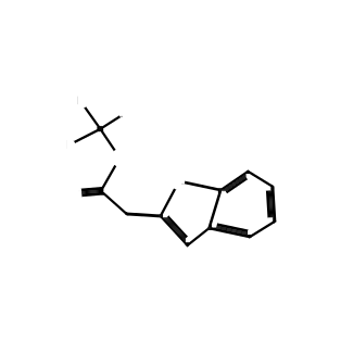 O=C(Cc1cc2ccccc2s1)OC(F)(F)F